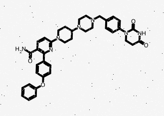 NC(=O)c1ccc(N2CCC(N3CCN(Cc4ccc(N5CCC(=O)NC5=O)cc4)CC3)CC2)nc1-c1ccc(Oc2ccccc2)cc1